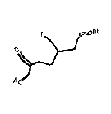 CCCCCCC(F)CC(=O)C(C)=O